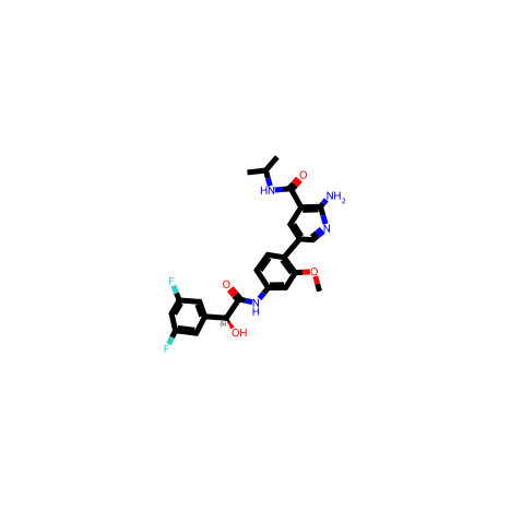 COc1cc(NC(=O)[C@@H](O)c2cc(F)cc(F)c2)ccc1-c1cnc(N)c(C(=O)NC(C)C)c1